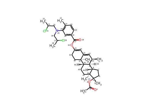 CC(=O)O[C@@]1(C)CC[C@H]2[C@@H]3[C@H](C)C=C4C=C(OC(=O)c5ccc(C)c(N(CC(C)Cl)CC(C)Cl)c5)CC[C@]4(C)[C@H]3CC[C@@]21C